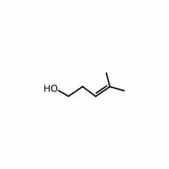 CC(C)=CCCO